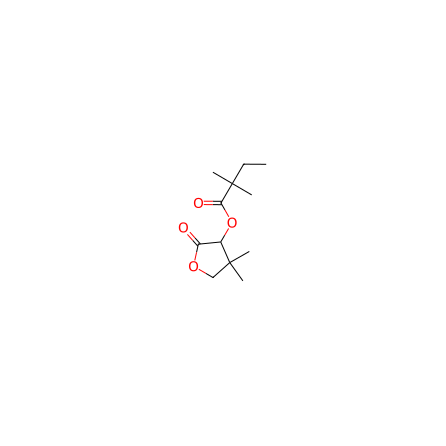 CCC(C)(C)C(=O)OC1C(=O)OCC1(C)C